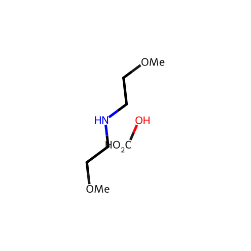 COCCNCCOC.O=C(O)O